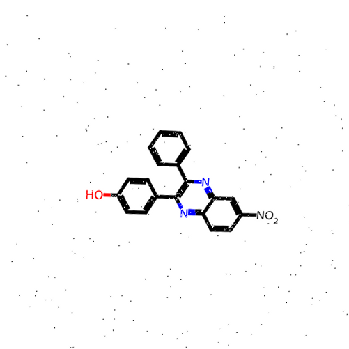 O=[N+]([O-])c1ccc2nc(-c3ccc(O)cc3)c(-c3ccccc3)nc2c1